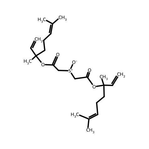 C=CC(C)(CCC=C(C)C)OC(=O)C[S+]([O-])CC(=O)OC(C)(C=C)CCC=C(C)C